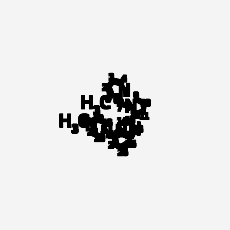 Cc1cccnc1CN1CCCC1c1cn2c(N3CCN(C)CC3)cccc2n1